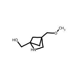 COCC12CNC(CO)(C1)C2